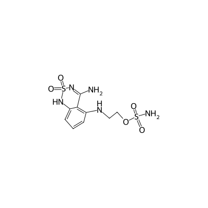 NC1=NS(=O)(=O)Nc2cccc(NCCOS(N)(=O)=O)c21